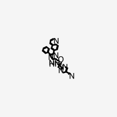 CC(C)(NC(=O)c1nc(-c2ccc3ncccc3c2)c(-c2ccccc2)nc1N)c1ncc(C#N)cn1